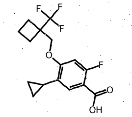 O=C(O)c1cc(C2CC2)c(OCC2(C(F)(F)F)CCC2)cc1F